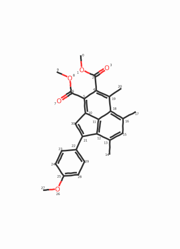 COC(=O)c1c(C(=O)OC)c2c3c(c(C)cc(C)c3c1C)C(c1ccc(OC)cc1)=C2